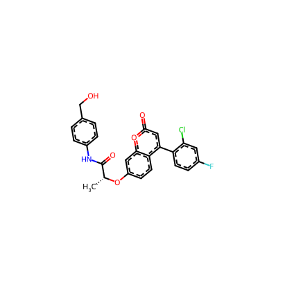 C[C@@H](Oc1ccc2c(-c3ccc(F)cc3Cl)cc(=O)oc2c1)C(=O)Nc1ccc(CO)cc1